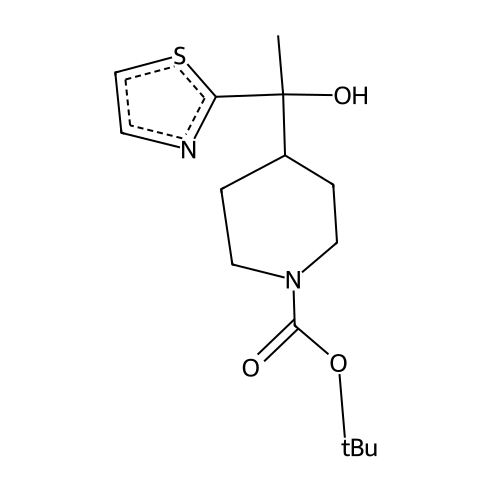 CC(C)(C)OC(=O)N1CCC(C(C)(O)c2nccs2)CC1